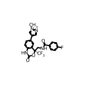 Cn1cc(-c2ccc3c(c2)[C@](CNC(=O)c2ccc(F)cc2)(C(F)(F)F)OC(=O)N3)cn1